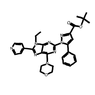 CCn1c(-c2ccncc2)nc2c(N3CCOCC3)nc(-n3nc(C(=O)OC(C)(C)C)cc3-c3ccccc3)nc21